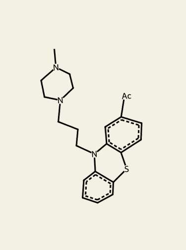 CC(=O)c1ccc2c(c1)N(CCCN1CCN(C)CC1)c1ccccc1S2